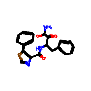 NC(=O)C(=O)C(Cc1ccccc1)NC(=O)c1ncsc1-c1ccccc1